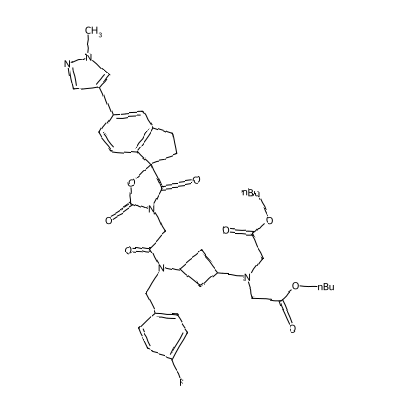 CCCCOC(=O)CN(CC(=O)OCCCC)C1CC(N(Cc2ccc(F)cc2)C(=O)CN2C(=O)OC3(CCc4cc(-c5cnn(C)c5)ccc43)C2=O)C1